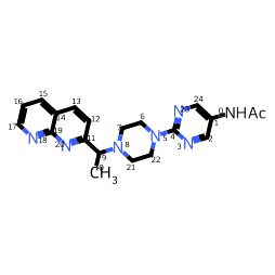 CC(=O)Nc1cnc(N2CCN(C(C)c3ccc4cccnc4n3)CC2)nc1